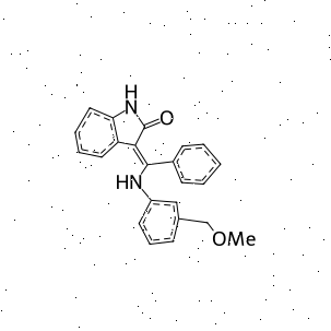 COCc1cccc(NC(=C2C(=O)Nc3ccccc32)c2ccccc2)c1